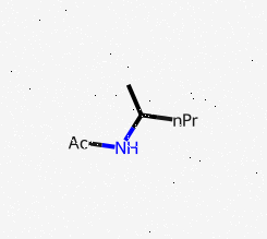 C[CH]CC(C)NC(C)=O